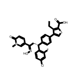 CCc1c(-c2ccc([C@@H](CC(=NO)c3ccc(=O)n(C)c3)c3ccc(Cl)cc3F)cc2)csc1C(=O)O